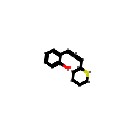 Oc1ccccc1C=C=CC1CCCCS1